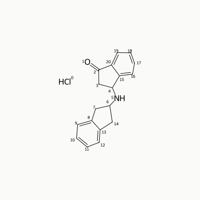 Cl.O=C1CC(NC2Cc3ccccc3C2)c2ccccc21